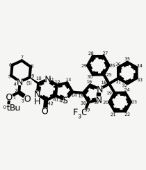 CC(C)(C)OC(=O)N1CCCC[C@H]1c1nc2cc(-c3cn(C(c4ccccc4)(c4ccccc4)c4ccccc4)nc3C(F)(F)F)sc2c(=O)[nH]1